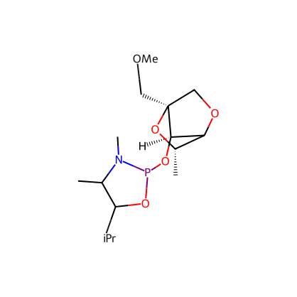 COC[C@@]12COC([C@H](C)O1)[C@H]2OP1OC(C(C)C)C(C)N1C